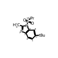 Cc1nc2ccc(C(C)(C)C)cc2n1S(=O)(=O)C(C)C